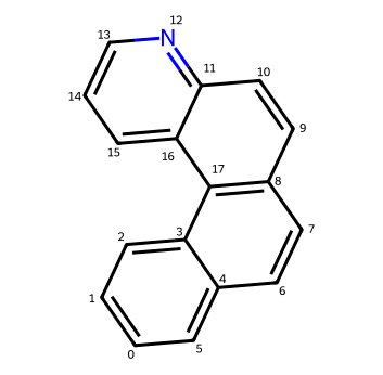 c1ccc2c(c1)ccc1ccc3ncccc3c12